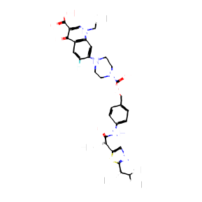 CCn1cc(C(=O)O)c(=O)c2cc(F)c(N3CCN(C(=O)OCc4ccc(NC(=O)[C@@H](C)c5cnc([C@@H](C)C(C)C)s5)cc4)CC3)cc21